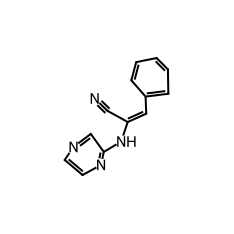 N#C/C(=C\c1ccccc1)Nc1cnccn1